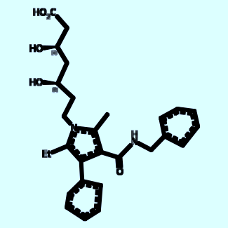 CCc1c(-c2ccccc2)c(C(=O)NCc2ccccc2)c(C)n1CC[C@@H](O)C[C@@H](O)CC(=O)O